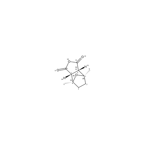 C[C@]12CC[C@](C)(O1)[C@@H]1C(=O)OC(=O)[C@@H]12